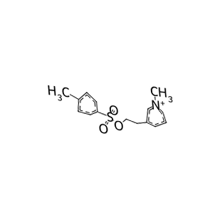 Cc1ccc(S(=O)(=O)OCCc2ccc[n+](C)c2)cc1